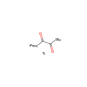 CCCC(C)C(=O)C(=O)C(C)(C)C.[Ti]